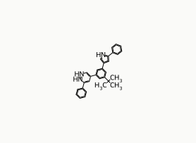 CC(C)(C)c1cc(C2=CNNC(c3ccccc3)=C2)cc(-c2c[nH]c(-c3ccccc3)c2)c1